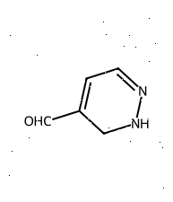 O=CC1=CC=NNC1